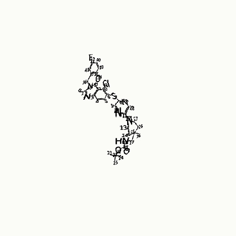 Cc1nc2ccc(Sc3cnc(N4CCC(C)(CNC(=O)OC(C)(C)C)CC4)cn3)c(Cl)c2c(=O)n1Cc1cccc(F)c1